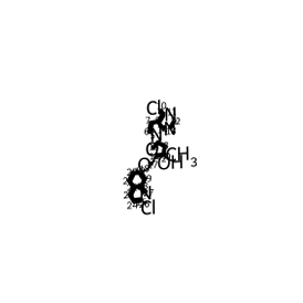 C[C@]1(O)C[C@H](n2ccc3c(Cl)ncnc32)O[C@@H]1COc1ccc2ccc(Cl)nc2c1